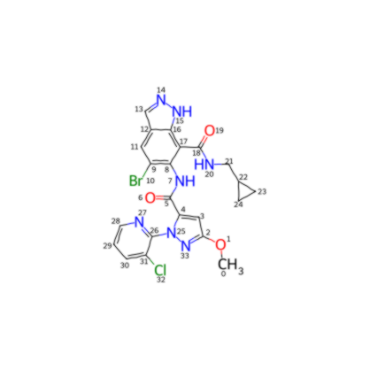 COc1cc(C(=O)Nc2c(Br)cc3cn[nH]c3c2C(=O)NCC2CC2)n(-c2ncccc2Cl)n1